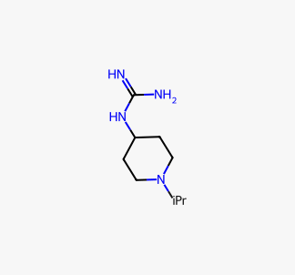 CC(C)N1CCC(NC(=N)N)CC1